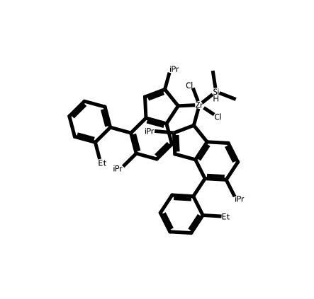 CCc1ccccc1-c1c(C(C)C)ccc2c1C=C(C(C)C)[CH]2[Zr]([Cl])([Cl])([CH]1C(C(C)C)=Cc2c1ccc(C(C)C)c2-c1ccccc1CC)[SiH](C)C